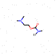 CCN(C)C([O])OCCN(C)C